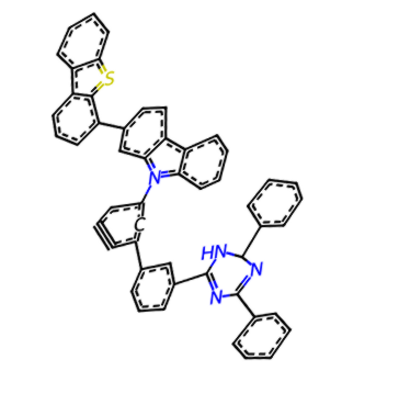 c1cc(-n2c3ccccc3c3ccc(-c4cccc5c4sc4ccccc45)cc32)cc(-c2cccc(C3=NC(c4ccccc4)=NC(c4ccccc4)N3)c2)c#1